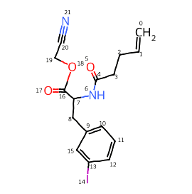 C=CCCC(=O)NC(Cc1cccc(I)c1)C(=O)OCC#N